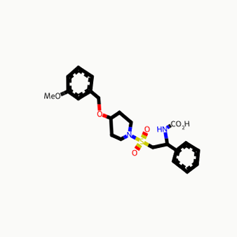 COc1cccc(COC2CCN(S(=O)(=O)CC(NC(=O)O)c3ccccc3)CC2)c1